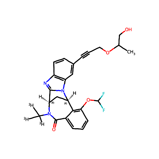 [2H]C([2H])([2H])N1C(=O)c2cccc(OC(F)F)c2[C@H]2C[C@@H]1c1nc3ccc(C#CCOC(C)CO)cc3n12